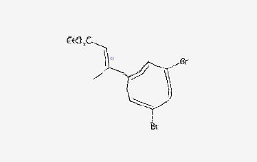 CCOC(=O)/C=C(\C)c1cc(Br)cc(Br)c1